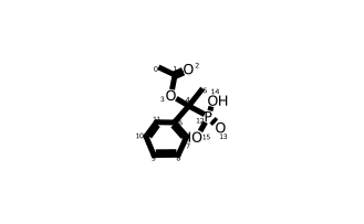 CC(=O)OC(C)(c1ccccc1)P(=O)(O)O